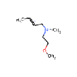 C/C=C/CN(C)CCOC